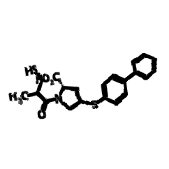 CC(CS)C(=O)N1CC(Sc2ccc(-c3ccccc3)cc2)C[C@H]1C(=O)O